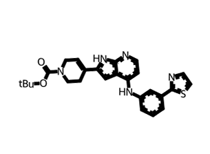 CC(C)(C)OC(=O)N1CC=C(c2cc3c(Nc4cccc(-c5nccs5)c4)ccnc3[nH]2)CC1